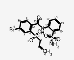 C=CCS(=O)(=O)c1cc(Br)ccc1C(=O)Nc1ccccc1S(N)(=O)=O